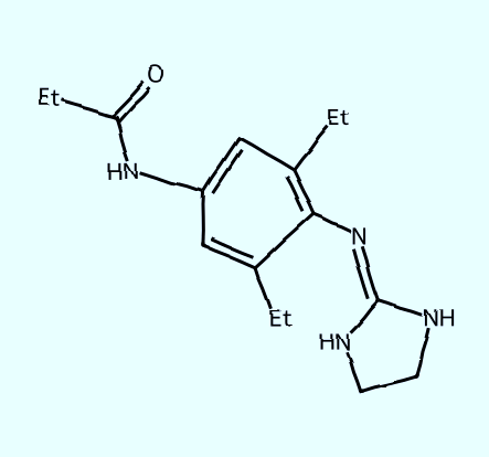 CCC(=O)Nc1cc(CC)c(N=C2NCCN2)c(CC)c1